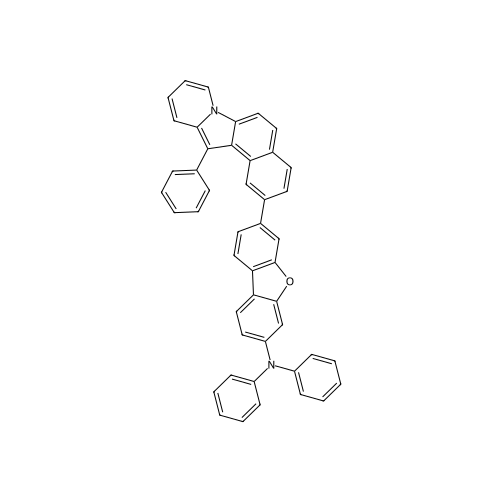 c1ccc(-c2c3c4cc(-c5ccc6c(c5)oc5cc(N(c7ccccc7)c7ccccc7)ccc56)ccc4ccc3n3ccccc23)cc1